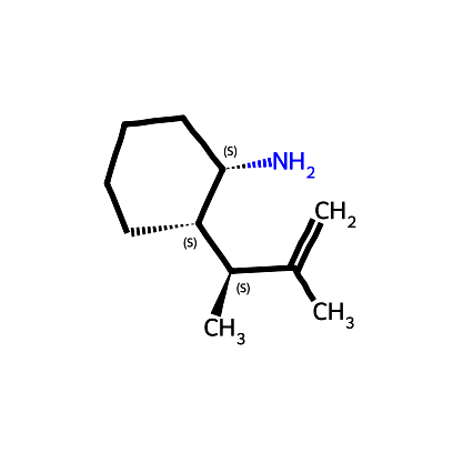 C=C(C)[C@@H](C)[C@@H]1CCCC[C@@H]1N